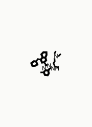 CCN(CC)CCCC(C)Nc1nc(-c2cc(Cc3ccccc3)c3ccccc3c2)nc2c(C)cccc12